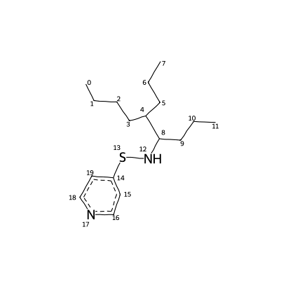 CCCCC(CCC)C(CCC)NSc1ccncc1